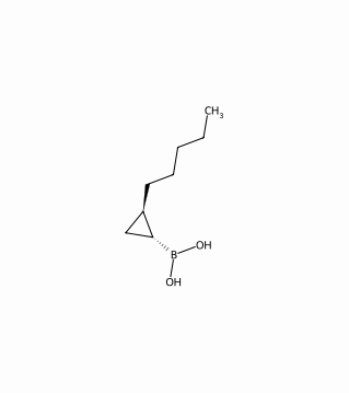 CCCCC[C@@H]1C[C@H]1B(O)O